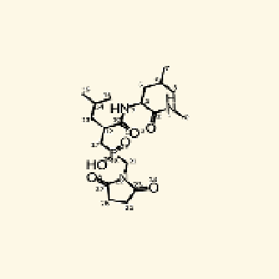 CNC(=O)[C@H](CC(C)C)NC(=O)[C@H](CC(C)C)CP(=O)(O)CN1C(=O)CCC1=O